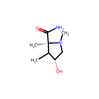 CC1[C@@H](O)CN(C)[C@]1(C)C(N)=O